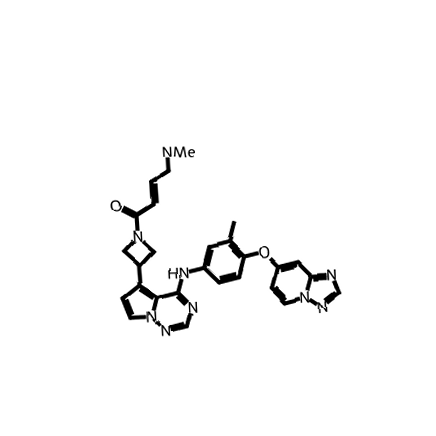 CNC/C=C/C(=O)N1CC(c2ccn3ncnc(Nc4ccc(Oc5ccn6ncnc6c5)c(C)c4)c23)C1